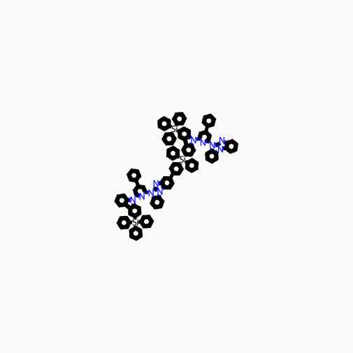 c1ccc(-c2cc(-n3c4ccc([Si](c5ccccc5)(c5ccccc5)c5ccccc5)cc4c4cc([Si](c5ccccc5)(c5ccccc5)c5ccc(-c6ccc7c(c6)nc6n(-c8cc(-c9ccccc9)cc(-n9c%10ccccc%10c%10cc([Si](c%11ccccc%11)(c%11ccccc%11)c%11ccccc%11)ccc%109)n8)c8ccccc8n76)cc5)ccc43)nc(-n3c4ccccc4n4c5ccccc5nc34)c2)cc1